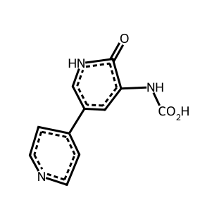 O=C(O)Nc1cc(-c2ccncc2)c[nH]c1=O